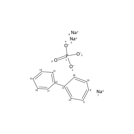 O=P([O-])([O-])[O-].[Na+].[Na+].[Na+].c1ccc(-c2ccccc2)cc1